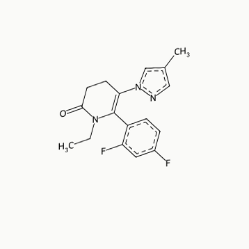 CCN1C(=O)CCC(n2cc(C)cn2)=C1c1ccc(F)cc1F